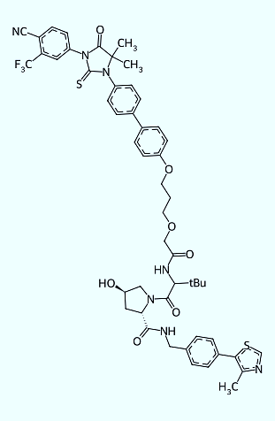 Cc1ncsc1-c1ccc(CNC(=O)[C@@H]2C[C@@H](O)CN2C(=O)C(NC(=O)COCCCOc2ccc(-c3ccc(N4C(=S)N(c5ccc(C#N)c(C(F)(F)F)c5)C(=O)C4(C)C)cc3)cc2)C(C)(C)C)cc1